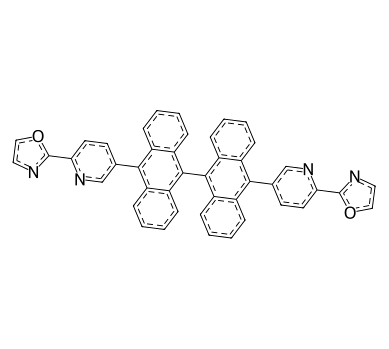 c1ccc2c(-c3c4ccccc4c(-c4ccc(-c5ncco5)nc4)c4ccccc34)c3ccccc3c(-c3ccc(-c4ncco4)nc3)c2c1